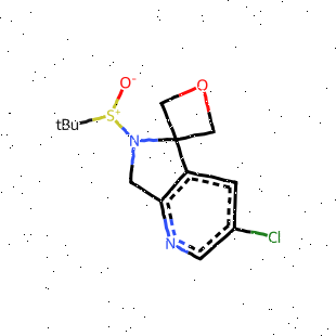 CC(C)(C)[S+]([O-])N1Cc2ncc(Cl)cc2C12COC2